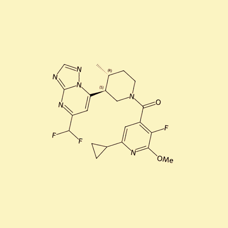 COc1nc(C2CC2)cc(C(=O)N2CC[C@@H](C)[C@H](c3cc(C(F)F)nc4ncnn34)C2)c1F